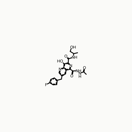 CC(=O)NNC(=O)c1nc(C(=O)NC(C)CO)c(O)c2ncc(Cc3ccc(F)cc3)cc12